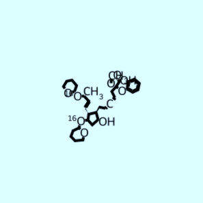 COC(CC=C=CC[C@H]1C(O)CC([16O]C2CCCCO2)[C@@H]1/C=C/C(C)[16O]C1CCCCO1)(Oc1ccccc1)C(=O)O